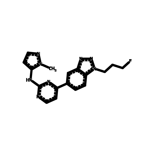 Cn1nccc1Nc1nccc(-c2ccc3c(c2)nnn3CCCF)n1